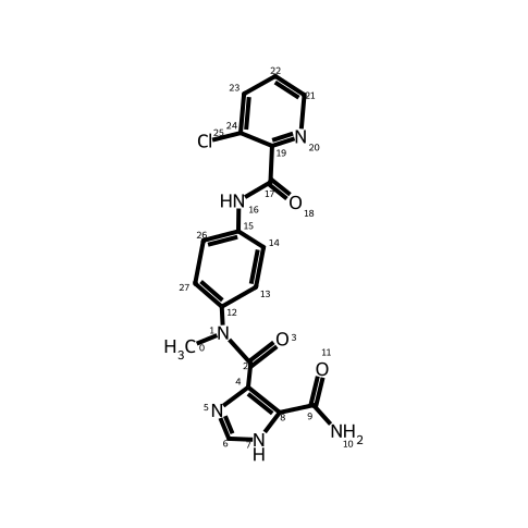 CN(C(=O)c1nc[nH]c1C(N)=O)c1ccc(NC(=O)c2ncccc2Cl)cc1